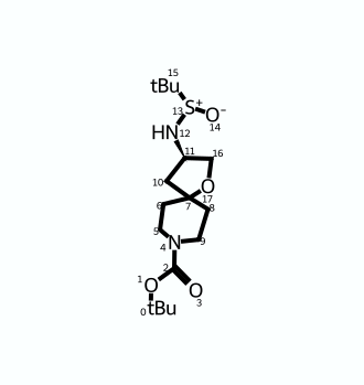 CC(C)(C)OC(=O)N1CCC2(CC1)C[C@@H](N[S+]([O-])C(C)(C)C)CO2